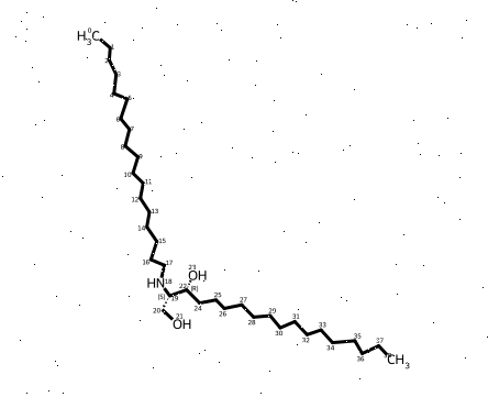 CCCCCCCCCCCCCCCCCCN[C@@H](CO)[C@H](O)CCCCCCCCCCCCCCC